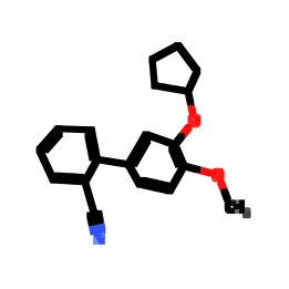 COc1ccc(-c2ccccc2C#N)cc1OC1CCCC1